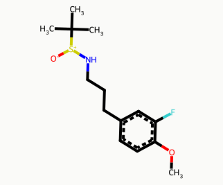 COc1ccc(CCCN[S+]([O-])C(C)(C)C)cc1F